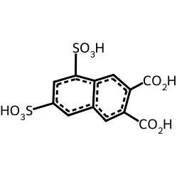 O=C(O)c1cc2cc(S(=O)(=O)O)cc(S(=O)(=O)O)c2cc1C(=O)O